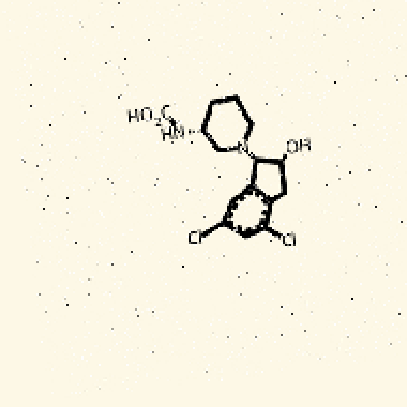 O=C(O)N[C@@H]1CCCN([C@@H]2c3cc(Cl)cc(Cl)c3C[C@@H]2O)C1